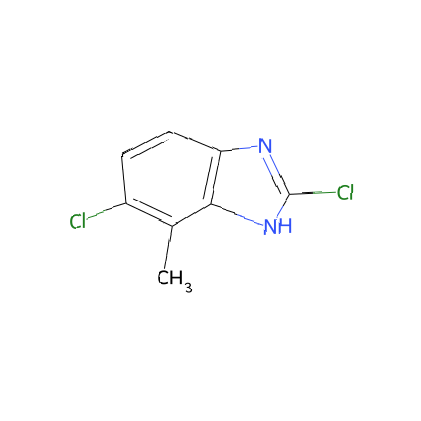 Cc1c(Cl)ccc2nc(Cl)[nH]c12